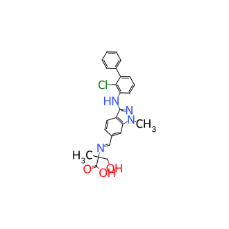 Cn1nc(Nc2cccc(-c3ccccc3)c2Cl)c2ccc(C=NC(C)(CO)C(=O)O)cc21